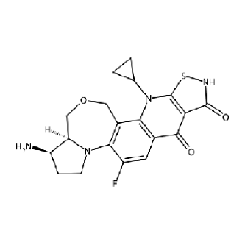 N[C@@H]1CCN2c3c(F)cc4c(=O)c5c(=O)[nH]sc5n(C5CC5)c4c3COC[C@H]12